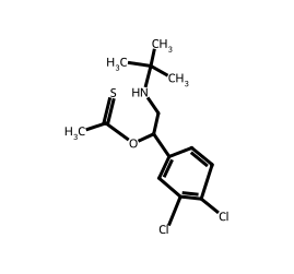 CC(=S)OC(CNC(C)(C)C)c1ccc(Cl)c(Cl)c1